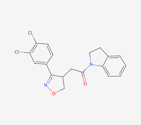 O=C(CC1CON=C1c1ccc(Cl)c(Cl)c1)N1CCc2ccccc21